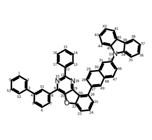 c1ccc(-c2cccc(-c3nc(-c4ccccc4)nc4c3oc3cccc(-c5ccc6cc(-n7c8ccccc8c8ccccc87)ccc6c5)c34)c2)cc1